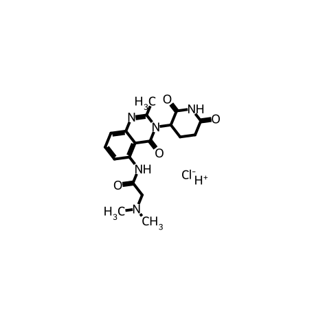 Cc1nc2cccc(NC(=O)CN(C)C)c2c(=O)n1C1CCC(=O)NC1=O.[Cl-].[H+]